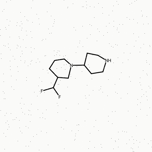 FC(F)C1CCCN(C2CCNCC2)C1